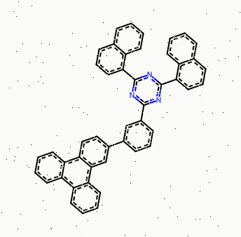 c1cc(-c2ccc3c4ccccc4c4ccccc4c3c2)cc(-c2nc(-c3cccc4ccccc34)nc(-c3cccc4ccccc34)n2)c1